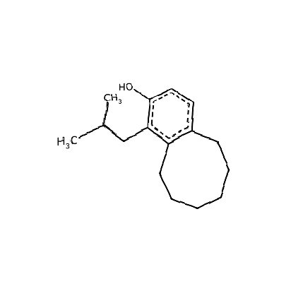 CC(C)Cc1c(O)ccc2c1CCCCCC2